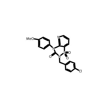 COc1ccc(N2C(=O)N(Cc3ccc(Cl)cc3)S(=O)(=O)c3cccnc32)cc1